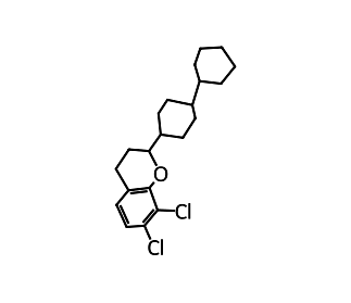 Clc1ccc2c(c1Cl)OC(C1CCC(C3CCCCC3)CC1)CC2